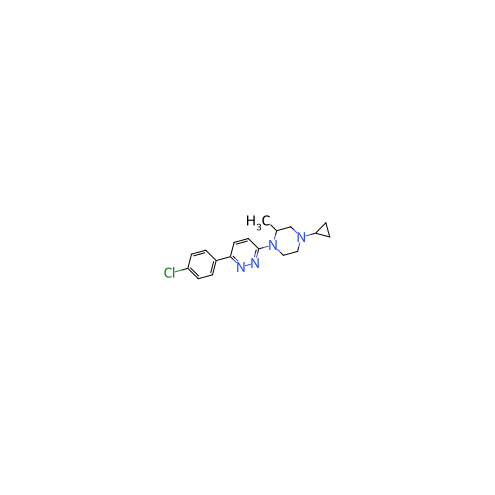 CC1CN(C2CC2)CCN1c1ccc(-c2ccc(Cl)cc2)nn1